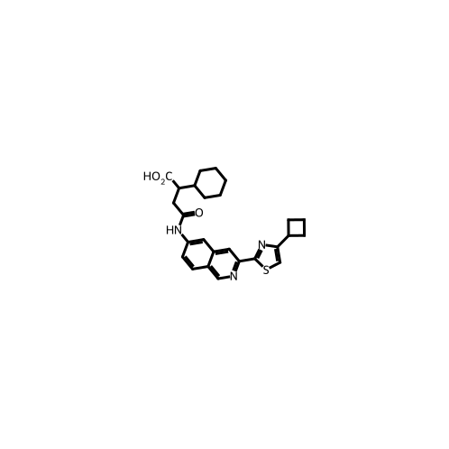 O=C(CC(C(=O)O)C1CCCCC1)Nc1ccc2cnc(-c3nc(C4CCC4)cs3)cc2c1